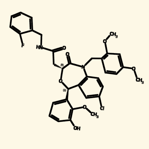 COc1ccc(CN2C(=O)[C@@H](CC(=O)NCc3ccccc3F)O[C@H](c3cccc(O)c3OC)c3cc(Cl)ccc32)c(OC)c1